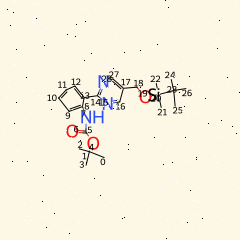 CC(C)(C)OC(=O)Nc1ccccc1-c1ncc(CO[Si](C)(C)C(C)(C)C)cn1